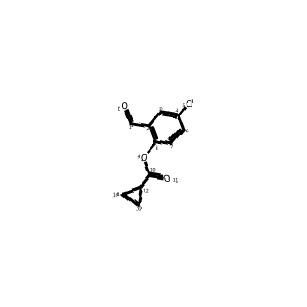 O=Cc1cc(Cl)ccc1OC(=O)C1CC1